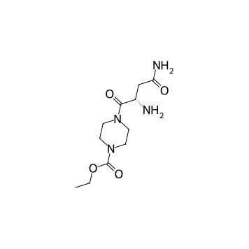 CCOC(=O)N1CCN(C(=O)[C@@H](N)CC(N)=O)CC1